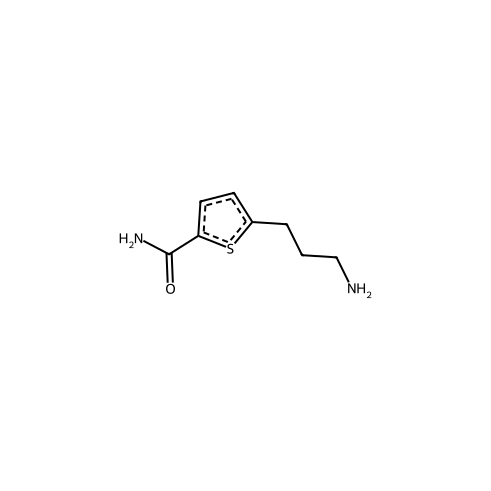 NCCCc1ccc(C(N)=O)s1